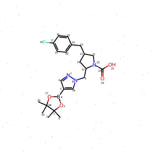 CC1(C)OB(c2cnn(CC3CC(Cc4ccc(F)cc4)CN3C(=O)O)c2)OC1(C)C